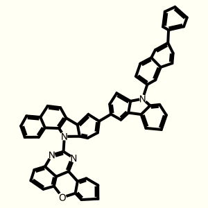 c1ccc(-c2ccc3cc(-n4c5ccccc5c5cc(-c6ccc7c(c6)c6ccc8ccccc8c6n7-c6nc7c8c(cccc8n6)Oc6ccccc6-7)ccc54)ccc3c2)cc1